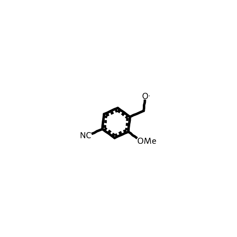 COc1cc(C#N)ccc1C[O]